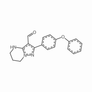 O=Cc1c(-c2ccc(Oc3ccccc3)cc2)nn2c1NCCC2